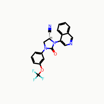 N#C[C@H]1CN(c2cccc(OC(F)(F)F)c2)C(=O)N1c1cncc2ccccc12